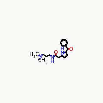 CN(C)CCCNC(=O)Cc1ccc(C(=O)c2ccccc2)[nH]1